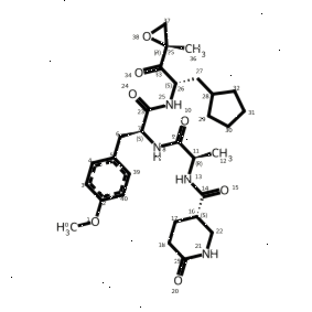 COc1ccc(C[C@H](NC(=O)[C@@H](C)NC(=O)[C@H]2CCC(=O)NC2)C(=O)N[C@@H](CC2CCCC2)C(=O)[C@@]2(C)CO2)cc1